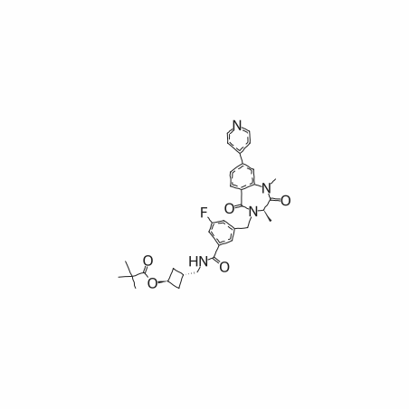 C[C@@H]1C(=O)N(C)c2cc(-c3ccncc3)ccc2C(=O)N1Cc1cc(F)cc(C(=O)NC[C@H]2C[C@H](OC(=O)C(C)(C)C)C2)c1